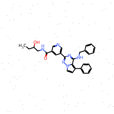 CCC(O)CNC(=O)c1cncc(-c2nc(NCc3ccccc3)c3c(-c4ccccc4)ccn3n2)c1